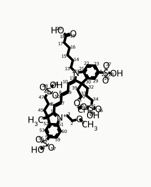 COCC[N+]1=C(/C=C/C=C/C=C2/N(CCCCCC(=O)O)c3ccc(S(=O)(=O)O)cc3C2(CCCS(=O)(=O)O)CCOC)C(C)(CCCS(=O)(=O)O)c2cc(S(=O)(=O)O)ccc21